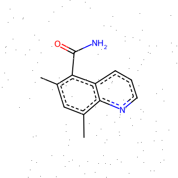 Cc1cc(C)c2ncccc2c1C(N)=O